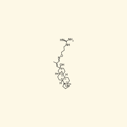 CC(C=NOCCCNC(=N)N)=C[C@]1(O)CC[C@@]2(C)[C@H](CC[C@@H]3[C@@H]2CC[C@]2(C)CCC[C@]32O)C1